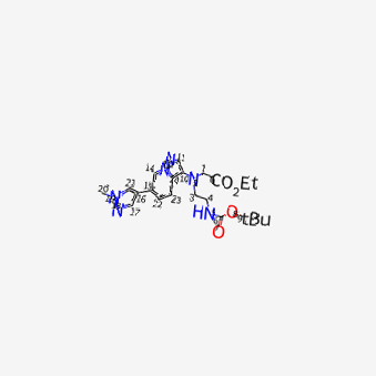 CCOC(=O)CN(CCNC(=O)OC(C)(C)C)c1cnn2cc(-c3cnn(C)c3)ccc12